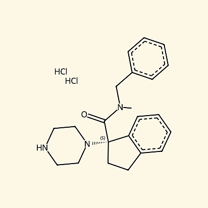 CN(Cc1ccccc1)C(=O)[C@]1(N2CCNCC2)CCc2ccccc21.Cl.Cl